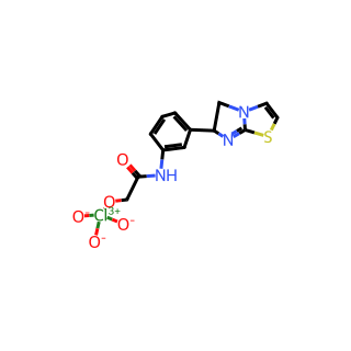 O=C(CO[Cl+3]([O-])([O-])[O-])Nc1cccc(C2CN3C=CSC3=N2)c1